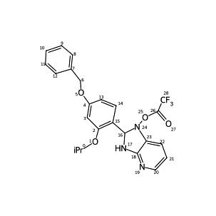 CC(C)Oc1cc(OCc2ccccc2)ccc1C1Nc2ncccc2N1OC(=O)C(F)(F)F